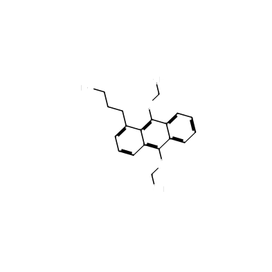 CCCCc1cccc2c(OCC)c3ccccc3c(OCC)c12